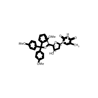 COC[C@H](OC(c1ccccc1)(c1ccc(OC)cc1)c1ccc(OC)cc1)[C@H]1O[C@@H](n2cc(C)c(=O)[nH]c2=O)C[C@@H]1O